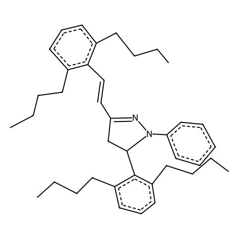 CCCCc1cccc(CCCC)c1C=CC1=NN(c2ccccc2)C(c2c(CCCC)cccc2CCCC)C1